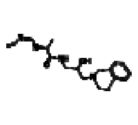 C=C/N=C\N=C(/C)C(=O)NCC(O)CN1CCc2ccccc2C1